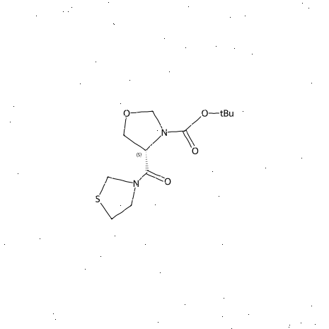 CC(C)(C)OC(=O)N1COC[C@H]1C(=O)N1CCSC1